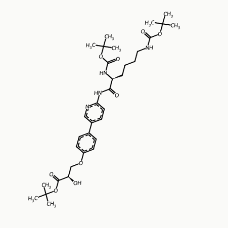 CC(C)(C)OC(=O)NCCCC[C@H](NC(=O)OC(C)(C)C)C(=O)Nc1ccc(-c2ccc(OC[C@@H](O)C(=O)OC(C)(C)C)cc2)cn1